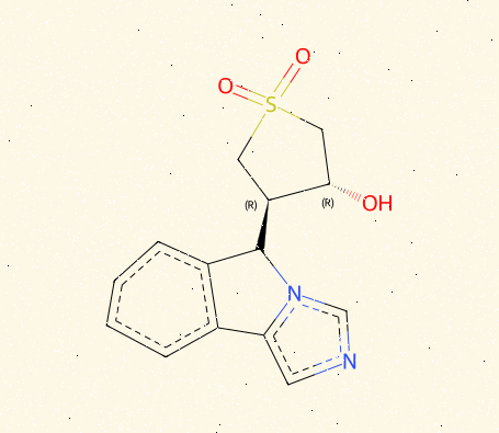 O=S1(=O)C[C@H](C2c3ccccc3-c3cncn32)[C@@H](O)C1